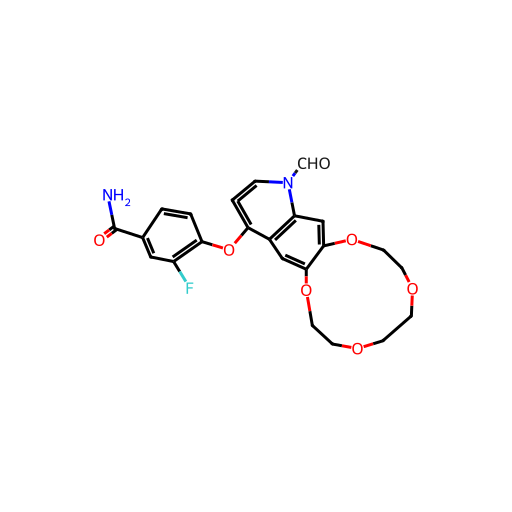 NC(=O)c1ccc(OC2=C=CN(C=O)c3cc4c(cc32)OCCOCCOCCO4)c(F)c1